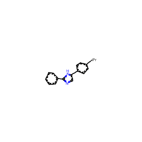 CC(C)c1ccc(-c2cnc(-c3ccccc3)[nH]2)cc1